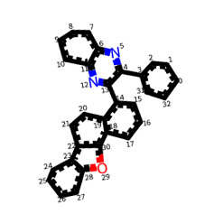 c1ccc(-c2nc3ccccc3nc2-c2cccc3c2ccc2c4ccccc4oc32)cc1